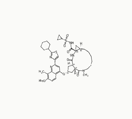 COc1ccc2c(O[C@@H]3C[C@H]4C(=O)N[C@]5(C(=O)NS(=O)(=O)C6CC6)C[C@H]5CCCCCCN(C)C(=O)[C@@H]4C3)cc(-c3csc(C4CCCCC4)n3)nc2c1C